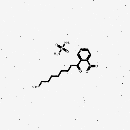 CCCCCCCCCCCCCCCCCC(=O)c1ccccc1I(=O)=O.NS(N)(=O)=O